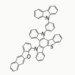 c1cc(-n2c3ccccc3c3ccccc32)cc(-n2c3ccccc3c3c4c(c5ccccc5n4-c4cccc5c4oc4cc6ccccc6cc45)c4sc5ccccc5c4c32)c1